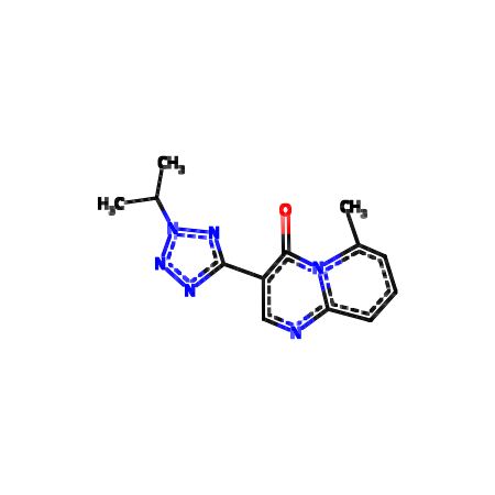 Cc1cccc2ncc(-c3nnn(C(C)C)n3)c(=O)n12